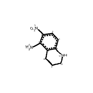 Nc1c([N+](=O)[O-])ccc2c1CCCN2